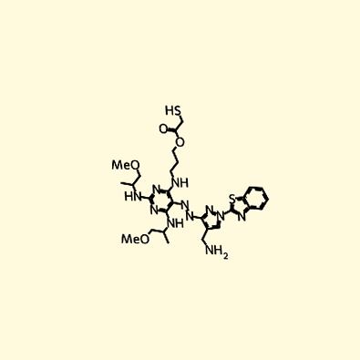 COCC(C)Nc1nc(NCCCOC(=O)CS)c(N=Nc2nn(-c3nc4ccccc4s3)cc2CN)c(NC(C)COC)n1